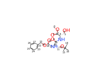 COC(=O)[C@H](CO)NC(=O)[C@H](COC(C)(C)C)NC(=O)OCc1ccccc1